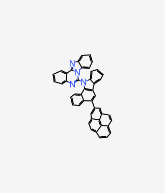 c1cc2ccc3cc(-c4cc5c6ccccc6n(-c6nc7ccccc7c7nc8ccccc8n67)c5c5ccccc45)cc4ccc(c1)c2c34